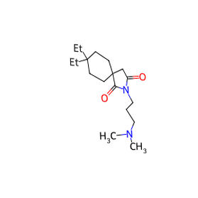 CCC1(CC)CCC2(CC1)CC(=O)N(CCCN(C)C)C2=O